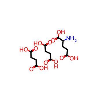 N[C@@H](CCC(=O)O)C(=O)O.O=C(O)CCC(=O)O.O=C(O)CCC(=O)O